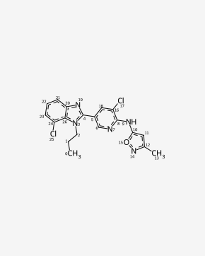 CCCn1c(-c2cnc(Nc3cc(C)no3)c(Cl)c2)nc2cccc(Cl)c21